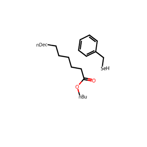 CCCCCCCCCCCCCCCC(=O)OCCCC.[SeH]Cc1ccccc1